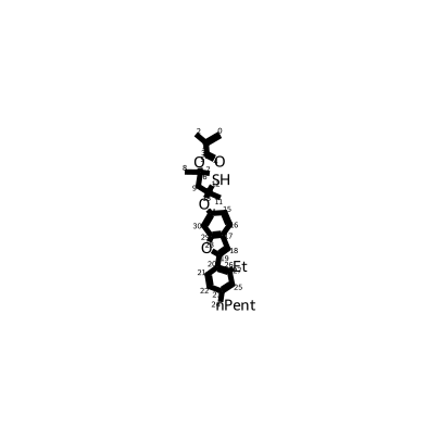 C=C(C)C(=O)OC(C)(C)CC(C)(S)Oc1ccc2cc(-c3ccc(CCCCC)cc3CC)oc2c1